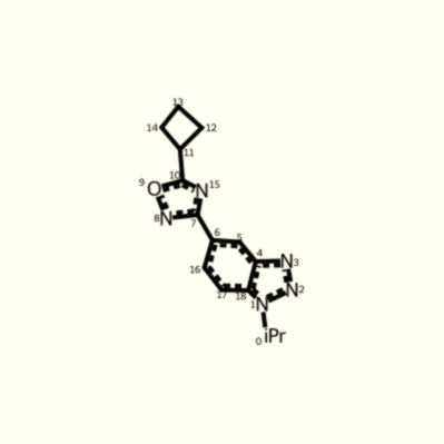 CC(C)n1nnc2cc(-c3noc(C4CCC4)n3)ccc21